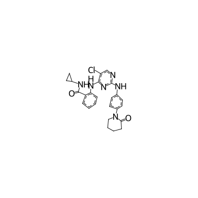 O=C(NC1CC1)c1ccccc1Nc1nc(Nc2ccc(N3CCCCC3=O)cc2)ncc1Cl